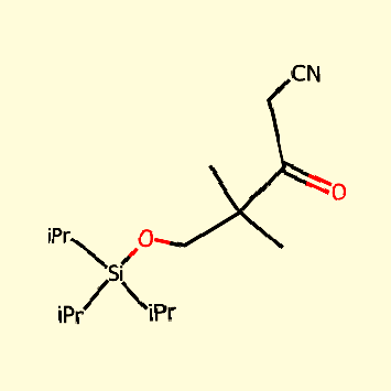 CC(C)[Si](OCC(C)(C)C(=O)CC#N)(C(C)C)C(C)C